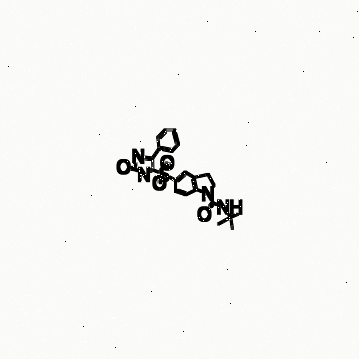 CC(C)(C)NC(=O)N1CCc2cc(S(=O)(=O)C3=NC(=O)N=C3c3ccccc3)ccc21